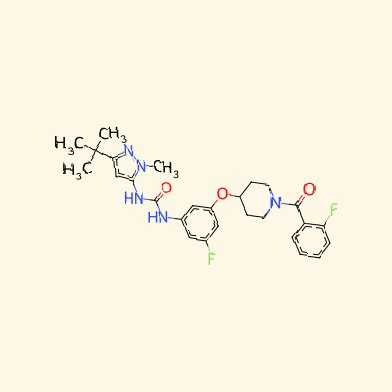 Cn1nc(C(C)(C)C)cc1NC(=O)Nc1cc(F)cc(OC2CCN(C(=O)c3ccccc3F)CC2)c1